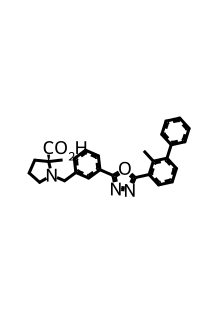 Cc1c(-c2ccccc2)cccc1-c1nnc(-c2cccc(CN3CCC[C@@]3(C)C(=O)O)c2)o1